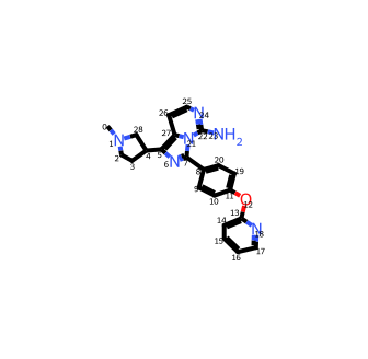 CN1CCC(c2nc(-c3ccc(Oc4ccccn4)cc3)n3c(N)nccc23)C1